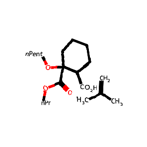 C=C(C)C.CCCCCOC1(C(=O)OCCC)CCCCC1C(=O)O